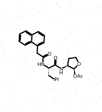 CC(=O)O[C@@H]1OCC[C@@H]1NC(=O)[C@H](CC(C)C)NC(=O)Cc1cccc2ccccc12